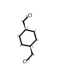 ClC[C@H]1CC[C@@H](CCl)CC1